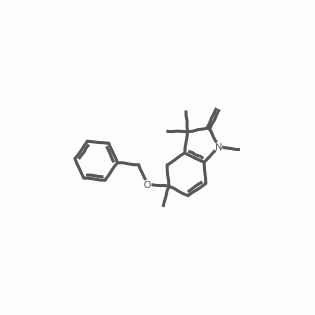 C=C1N(C)C2=C(CC(C)(OCc3ccccc3)C=C2)C1(C)C